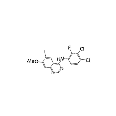 COc1cc2ncnc(Nc3ccc(Cl)c(Cl)c3F)c2cc1C